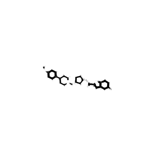 COc1ccc(C2CCN(C[C@H]3CC[C@@H](NC(=O)c4cc5cc(Cl)ccc5[nH]4)C3)CC2)cc1